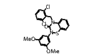 COc1cc(OC)cc(N2Sc3ccccc3N(Cc3c(Cl)cccc3Cl)C2=O)c1